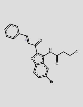 O=C(CCCl)Nc1c(C(=O)/C=C/c2ccccc2)oc2ccc(Br)cc12